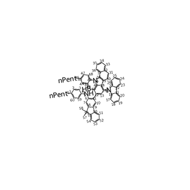 CCCCCc1ccc(Nc2cc3c(cc2-c2cc(-n4c5ccccc5c5ccccc54)c4c5ccc6ccccc6c5n5c4c2Bc2cc(CCCCC)ccc2-5)-c2ccccc2C3(C)C)cc1